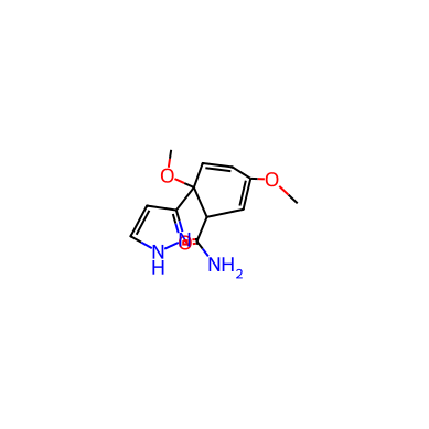 COC1=CC(C(N)=O)C(OC)(c2cc[nH]n2)C=C1